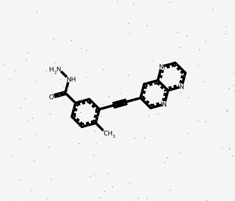 Cc1ccc(C(=O)NN)cc1C#Cc1cnc2nccnc2c1